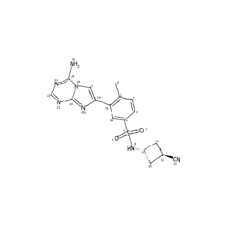 Cc1ccc(S(=O)(=O)N[C@H]2C[C@H](C#N)C2)cc1-c1cn2c(N)ncnc2n1